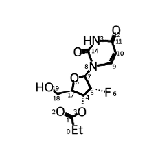 CCC(=O)O[C@H]1[C@@H](F)[C@H](n2ccc(=O)[nH]c2=O)O[C@@H]1CO